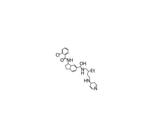 CCC(CCNC1C=CN=CC1)CNC(O)C1=CC2C(C=C1)CC[C@H]2NC(=O)c1ccccc1Cl